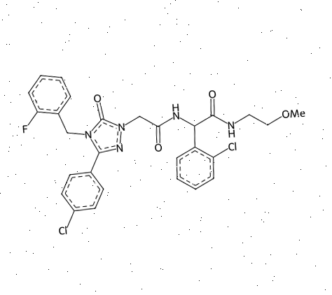 COCCNC(=O)C(NC(=O)Cn1nc(-c2ccc(Cl)cc2)n(Cc2ccccc2F)c1=O)c1ccccc1Cl